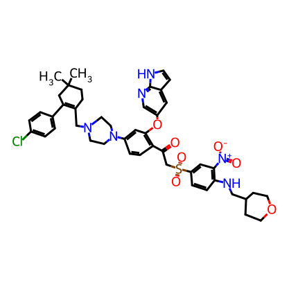 CC1(C)CCC(CN2CCN(c3ccc(C(=O)CS(=O)(=O)c4ccc(NCC5CCOCC5)c([N+](=O)[O-])c4)c(Oc4cnc5[nH]ccc5c4)c3)CC2)=C(c2ccc(Cl)cc2)C1